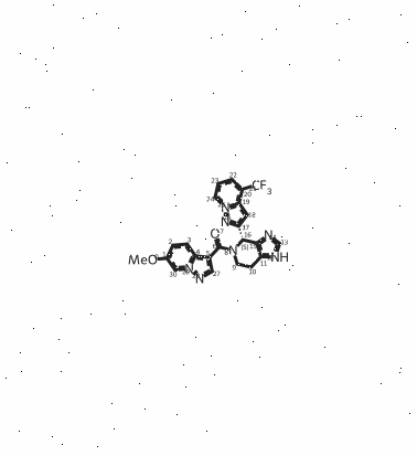 COc1ccc2c(C(=O)N3CCc4[nH]cnc4[C@H]3c3cc4c(C(F)(F)F)cccn4n3)cnn2c1